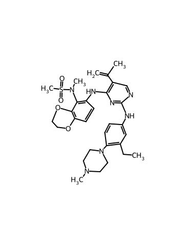 C=C(C)c1cnc(Nc2ccc(N3CCN(C)CC3)c(CC)c2)nc1Nc1ccc2c(c1N(C)S(C)(=O)=O)OCCO2